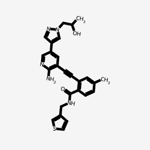 Cc1ccc(C(=O)NCc2ccsc2)c(C#Cc2cc(-c3cnn(CC(C)O)c3)cnc2N)c1